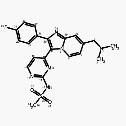 CN(C)Cc1ccn2c(-c3ccnc(NS(C)(=O)=O)n3)c(-c3ccc(F)cc3)nc2c1